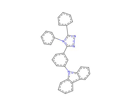 c1ccc(-c2nnc(-c3cccc(-n4c5ccccc5c5ccccc54)c3)n2-c2ccccc2)cc1